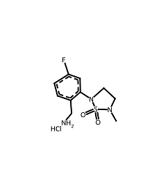 CN1CCN(c2cc(F)ccc2CN)S1(=O)=O.Cl